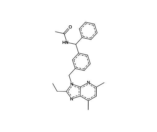 CCc1nc2c(C)cc(C)nc2n1Cc1cccc(C(NC(C)=O)c2ccccc2)c1